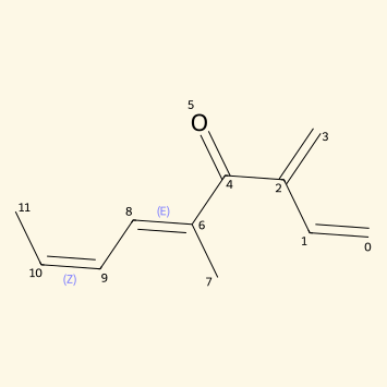 C=CC(=C)C(=O)/C(C)=C/C=C\C